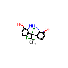 Nc1c(O)cccc1C(F)(c1cccc(O)c1N)C(F)(F)C(F)(F)F